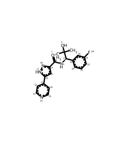 CC(C)(O)[C@H](NC(=O)c1cc(-c2ccncc2)[nH]n1)c1cccc(F)c1